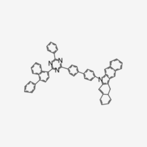 C1=CC2=Cc3c(c4cc5ccccc5cc4n3-c3ccc(-c4ccc(-c5nc(-c6ccccc6)nc(-c6ccc(-c7ccccc7)c7ccccc67)n5)cc4)cc3)CC2C=C1